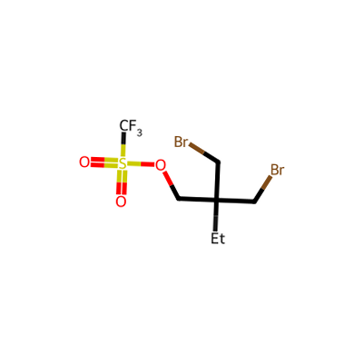 CCC(CBr)(CBr)COS(=O)(=O)C(F)(F)F